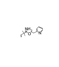 C=CC(C)(C)[C@H](N)OCCc1ccccn1